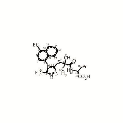 CCc1ccc(-n2c(SC(C)(C)C(=O)NC(C(=O)O)C(C)C)nnc2C(F)(F)F)c2ccccc12